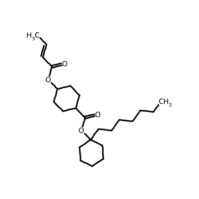 C/C=C/C(=O)OC1CCC(C(=O)OC2(CCCCCCC)CCCCC2)CC1